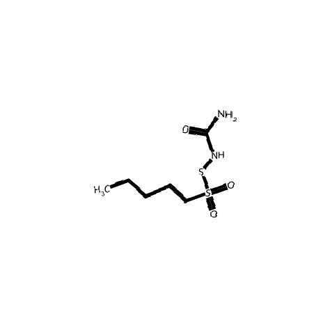 CCCCCS(=O)(=O)SNC(N)=O